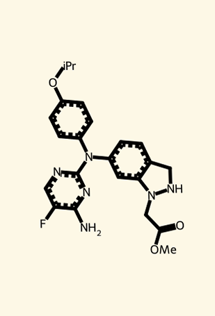 COC(=O)CN1NCc2ccc(N(c3ccc(OC(C)C)cc3)c3ncc(F)c(N)n3)cc21